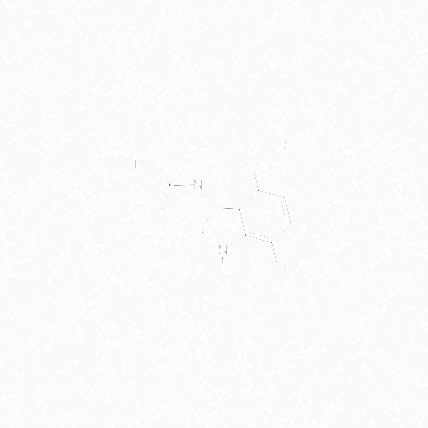 COc1ccc(Cl)c2c1S(=NC(C)=O)CN2C